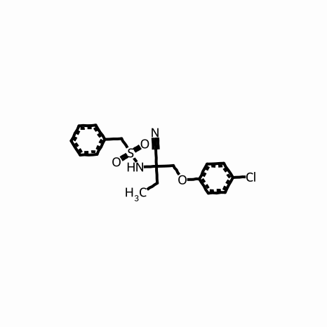 CCC(C#N)(COc1ccc(Cl)cc1)NS(=O)(=O)Cc1ccccc1